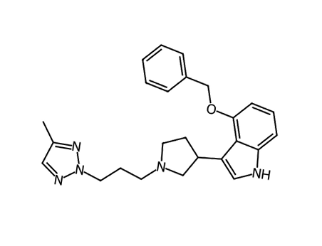 Cc1cnn(CCCN2CCC(c3c[nH]c4cccc(OCc5ccccc5)c34)C2)n1